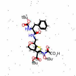 CC(C)(C)OC(=O)NC(Cc1ccccc1)C(=O)NCC1OCCc2c1sc(N(OC(C)(C)C)C(=O)C(=O)O)c2C(=O)OC(C)(C)C